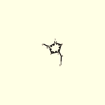 Cn1cc(CI)cn1